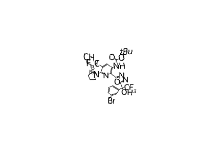 C=CC[C@@H]1CCCN1c1nc(-c2nnc(C(O)(c3cccc(Br)c3)C(F)(F)F)o2)c(NC(=O)OC(C)(C)C)cc1C(F)(F)F